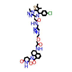 Cc1sc2c(c1C)C(c1ccc(Cl)cc1)=N[C@@H](CC(=O)NCc1cn(CCOCC(=O)CNC3CCC4c5c(cccc53)C(=O)N4C3CCC(=O)NC3=O)nn1)c1nnc(C)n1-2